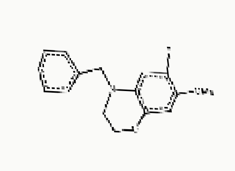 COc1cc2c(cc1F)N(Cc1ccccc1)CCO2